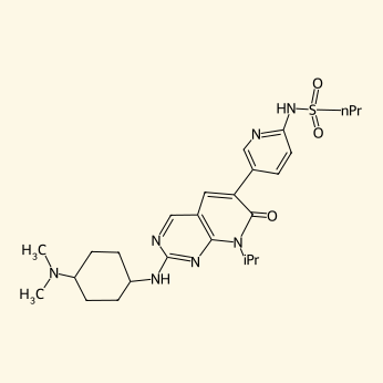 CCCS(=O)(=O)Nc1ccc(-c2cc3cnc(NC4CCC(N(C)C)CC4)nc3n(C(C)C)c2=O)cn1